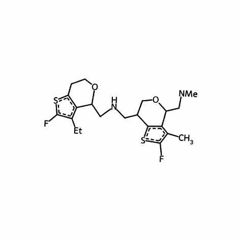 CCc1c(F)sc2c1C(CNCC1COC(CNC)c3c1sc(F)c3C)OCC2